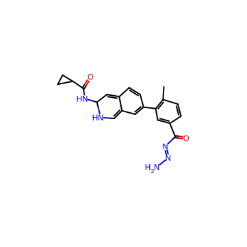 Cc1ccc(C(=O)N=NN)cc1-c1ccc2c(c1)=CNC(NC(=O)C1CC1)C=2